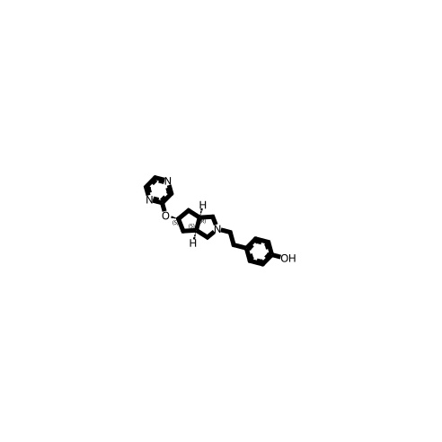 Oc1ccc(CCN2C[C@H]3C[C@H](Oc4cnccn4)C[C@H]3C2)cc1